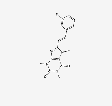 Cn1c(=O)c2c(nc(C=Cc3cccc(F)c3)n2C)n(C)c1=O